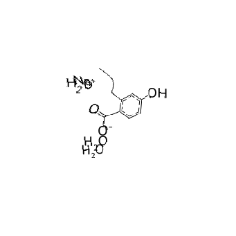 CCCc1cc(O)ccc1C(=O)[O-].O.O.O.[Na+]